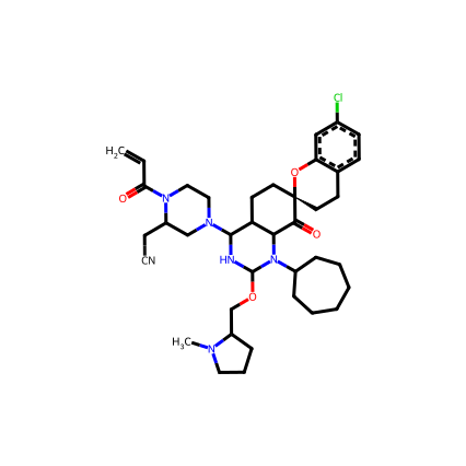 C=CC(=O)N1CCN(C2NC(OCC3CCCN3C)N(C3CCCCCC3)C3C(=O)[C@]4(CCc5ccc(Cl)cc5O4)CCC23)CC1CC#N